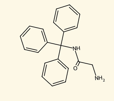 NCC(=O)NC(c1ccccc1)(c1ccccc1)c1ccccc1